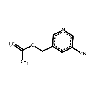 C=C(C)OCc1cncc(C#N)c1